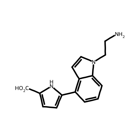 NCCn1ccc2c(-c3ccc(C(=O)O)[nH]3)cccc21